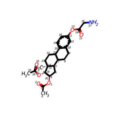 CC(=O)O[C@@H]1CC2C3CCc4cc(OC(=O)CN)ccc4C3CC[C@]2(C)[C@H]1OC(C)=O